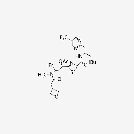 CC[C@@H](C)C[C@H](Cc1ncc(C(F)(F)F)cn1)NC(=O)C1CSC([C@@H](CC(C(C)C)N(C)C(=O)CC2COC2)OC(C)=O)=N1